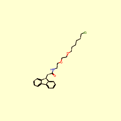 O=C(CC1c2ccccc2-c2ccccc21)NCCOCCOCCCCCCCl